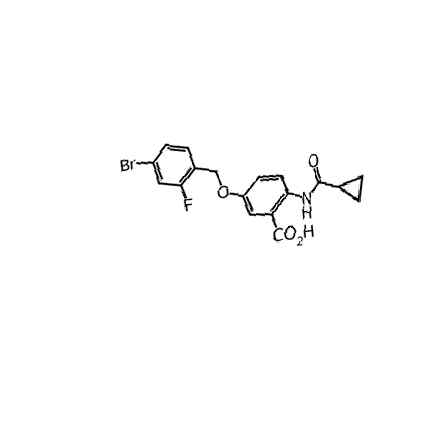 O=C(O)c1cc(OCc2ccc(Br)cc2F)ccc1NC(=O)C1CC1